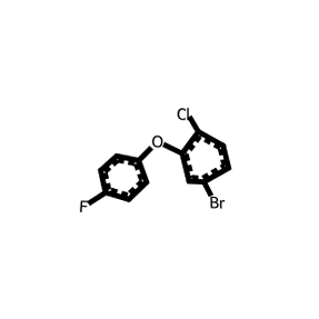 Fc1ccc(Oc2cc(Br)ccc2Cl)cc1